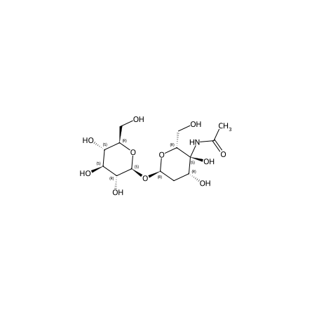 CC(=O)N[C@]1(O)[C@H](O)C[C@@H](O[C@@H]2O[C@H](CO)[C@@H](O)[C@H](O)[C@H]2O)O[C@@H]1CO